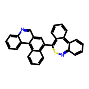 [c]1nc2ccccc2c2c1cc(C1=c3ccccc3=c3ccccc3=NS1)c1ccccc12